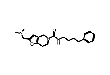 CN(C)Cc1cc2c(o1)CCN(C(=O)NCCCCc1ccccc1)C2